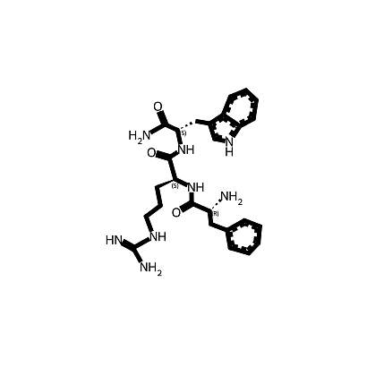 N=C(N)NCCC[C@H](NC(=O)[C@H](N)Cc1ccccc1)C(=O)N[C@@H](Cc1c[nH]c2ccccc12)C(N)=O